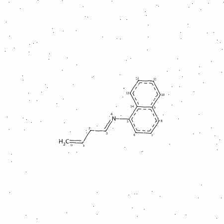 C=CCC=Nc1cccc2ccccc12